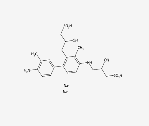 Cc1cc(-c2ccc(NCC(O)CS(=O)(=O)O)c(C)c2CC(O)CS(=O)(=O)O)ccc1N.[Na].[Na]